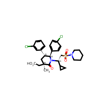 C[C@]1(CC(=O)O)C[C@H](c2cccc(Cl)c2)[C@@H](c2ccc(Cl)cc2)N([C@H](CS(=O)(=O)N2CCCCC2)C2CC2)C1=O